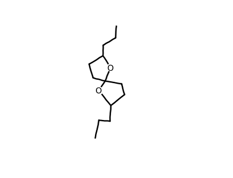 CCCC1CCC2(CCC(CCC)O2)O1